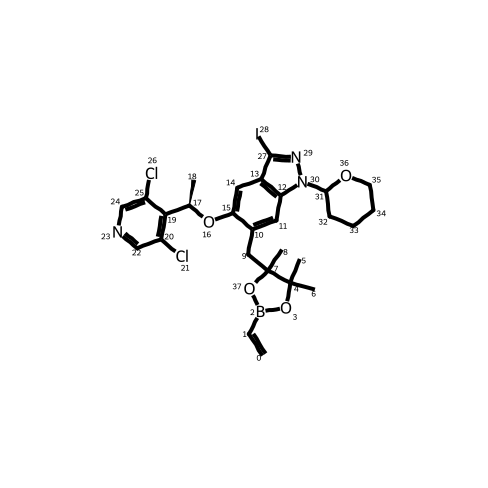 C=CB1OC(C)(C)C(C)(Cc2cc3c(cc2O[C@H](C)c2c(Cl)cncc2Cl)c(I)nn3C2CCCCO2)O1